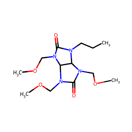 CCCN1C(=O)N(COC)C2C1N(COC)C(=O)N2COC